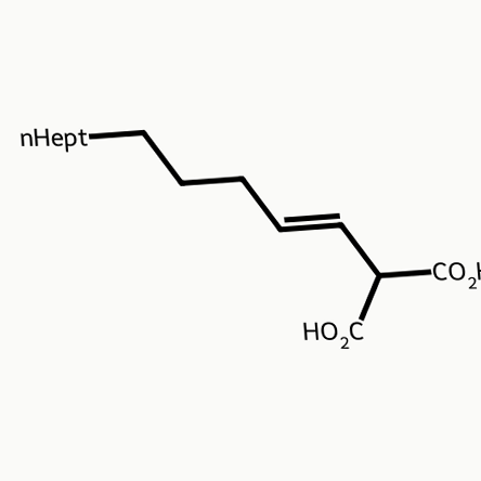 CCCCCCCCCCC=CC(C(=O)O)C(=O)O